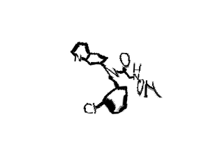 O=C(CNO)N(Cc1ccccc1Cl)c1ccc2cccnc2c1